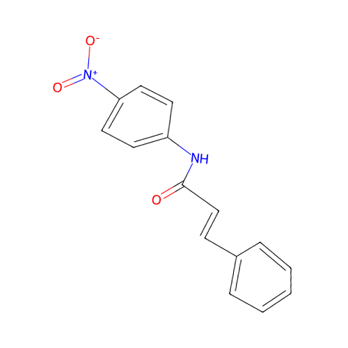 O=C(C=Cc1ccccc1)Nc1ccc([N+](=O)[O-])cc1